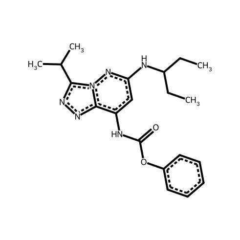 CCC(CC)Nc1cc(NC(=O)Oc2ccccc2)c2nnc(C(C)C)n2n1